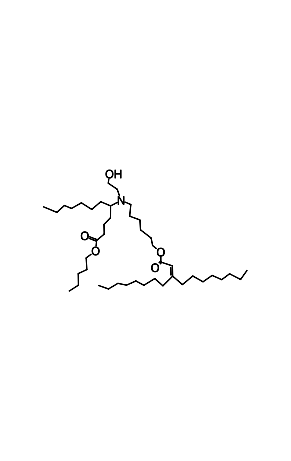 CCCCCCCCC(=CC(=O)OCCCCCCN(CCO)C(CCCCCCC)CCCC(=O)OCCCCC)CCCCCCCC